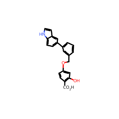 O=C(O)c1ccc(OCc2cccc(-c3ccc4[nH]ccc4c3)c2)cc1O